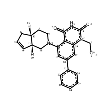 CCn1c(=O)[nH]c(=O)c2c(N3CC[C@H]4CC=C[C@H]4C3)cc(-c3ccccc3)cc21